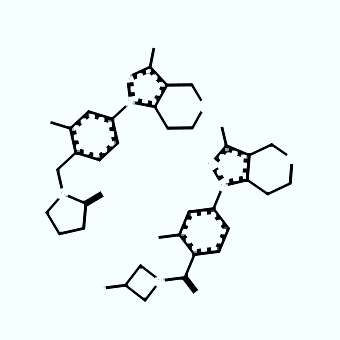 O=C(c1ccc(-n2nc(C(F)(F)F)c3c2CCOC3)cc1F)N1CC(O)C1.O=C1CCCN1Cc1ccc(-n2nc(C(F)(F)F)c3c2CCOC3)cc1F